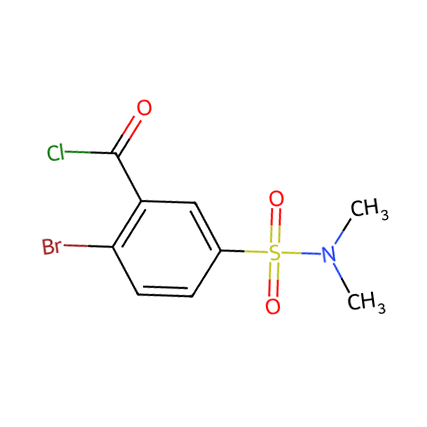 CN(C)S(=O)(=O)c1ccc(Br)c(C(=O)Cl)c1